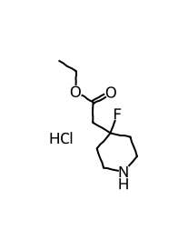 CCOC(=O)CC1(F)CCNCC1.Cl